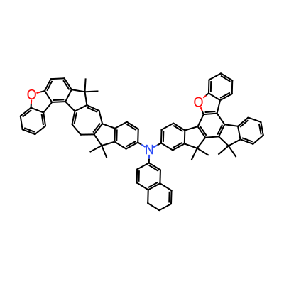 CC1(C)C2=C(C=C3C(=CC2)c2c(ccc4oc5ccccc5c24)C3(C)C)c2ccc(N(c3ccc4c(c3)C=CCC4)c3ccc4c(c3)C(C)(C)c3c5c(c6c(oc7ccccc76)c3-4)-c3ccccc3C5(C)C)cc21